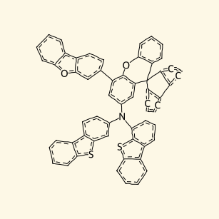 c1ccc2c(c1)Oc1c(-c3ccc4c(c3)oc3ccccc34)cc(N(c3ccc4c(c3)sc3ccccc34)c3cccc4c3sc3ccccc34)cc1C21c2ccccc2-c2ccccc21